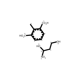 Cc1c(C(=O)O)cccc1C(=O)O.O=[N+]([O-])C(O)CCO